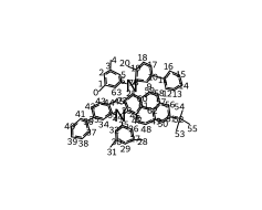 Cc1cc(C)cc(N(c2cc(-c3ccccc3)ccc2C)c2cc(N(c3cc(C)cc(C)c3)c3cc(-c4ccccc4)ccc3C)c3ccc4cc(C(C)(C)C)cc5ccc2c3c54)c1